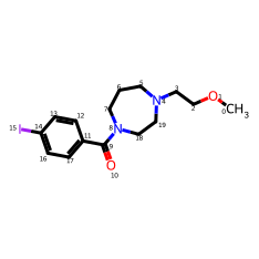 COCCN1CCCN(C(=O)c2ccc(I)cc2)CC1